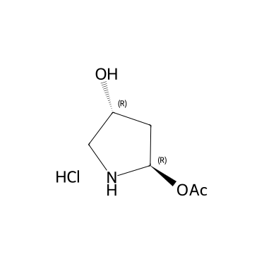 CC(=O)O[C@@H]1C[C@@H](O)CN1.Cl